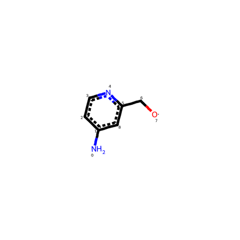 Nc1ccnc(C[O])c1